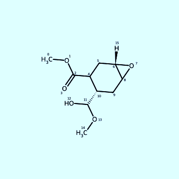 COC(=O)C1C[C@@H]2OC2C[C@@H]1C(O)OC